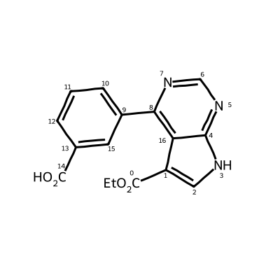 CCOC(=O)c1c[nH]c2ncnc(-c3cccc(C(=O)O)c3)c12